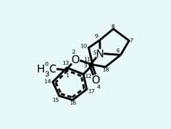 CCOC(=O)N1C2CCC1CC(c1ccccc1)C2